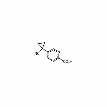 N#CC1(c2ccc(C(=O)O)nc2)CC1